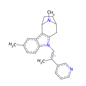 C/C(=C\n1c2c(c3cc(C)ccc31)C1CCC(C2)N1C)c1cccnc1